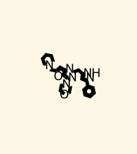 c1ccc(-c2cc(Cc3nc(N4CCOCC4)c4oc(CN5CCCCC5)cc4n3)[nH]n2)cc1